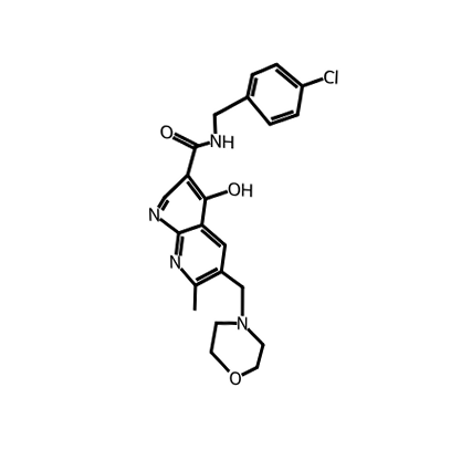 Cc1nc2ncc(C(=O)NCc3ccc(Cl)cc3)c(O)c2cc1CN1CCOCC1